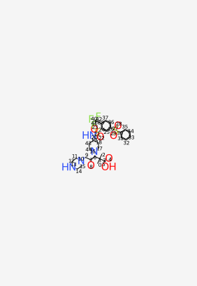 CC(C)(C(=O)O)C(C(=O)CN1CCNCC1)N1CCC(NS(=O)(=O)c2cc(S(=O)(=O)c3ccccc3)ccc2C(F)(F)F)CC1